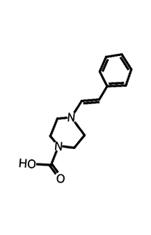 O=C(O)N1CCN(C=Cc2ccccc2)CC1